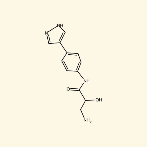 NCC(O)C(=O)Nc1ccc(-c2cn[nH]c2)cc1